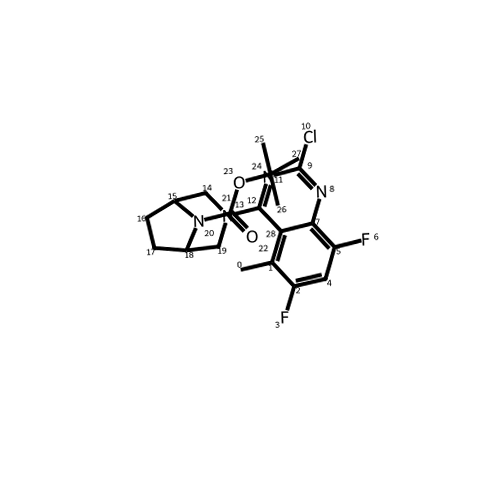 Cc1c(F)cc(F)c2nc(Cl)nc(N3CC4CCC(C3)N4C(=O)OC(C)(C)C)c12